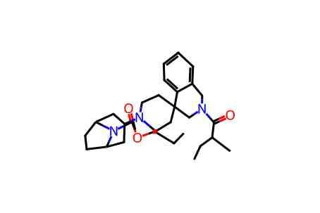 CCCOC(=O)N1C2CCC1CC(N1CCC3(CC1)CN(C(=O)C(C)CC)Cc1ccccc13)C2